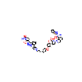 Cc1c(O[C@H]2CC[C@H](CCCN3CC[C@H](c4cccc5c(C6CCC(=O)NC6=O)nn(C)c45)C3)CC2)cccc1-c1ccc(N2CCc3cccc(C(=O)Nc4nc5ccccc5s4)c3C2)nc1C(=O)O